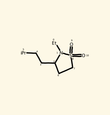 CCN1C(CCC(C)C)CCS1(=O)=O